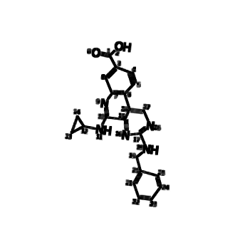 O=C(O)c1c#cc2c(c1)nc(NC1CC1)c1nc(NCc3ccccc3)ncc12